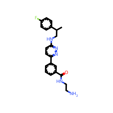 CC(CNc1ccc(-c2cccc(C(=O)NCCN)c2)nn1)c1ccc(F)cc1